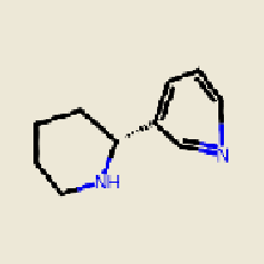 c1cncc([C@H]2CCCCN2)c1